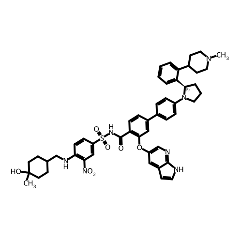 CN1CCC(c2ccccc2[C@H]2CCCN2c2ccc(-c3ccc(C(=O)NS(=O)(=O)c4ccc(NCC5CCC(C)(O)CC5)c([N+](=O)[O-])c4)c(Oc4cnc5[nH]ccc5c4)c3)cc2)CC1